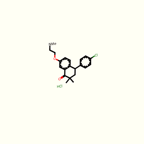 CNCCOc1ccc2c(c1)C(=O)C(C)(C)CC2c1ccc(Cl)cc1.Cl